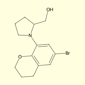 OCC1CCCN1c1cc(Br)cc2c1OCCC2